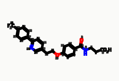 O=C(O)CCNC(=O)c1ccc(OCCc2ccc(-c3ccc(C(F)(F)F)cc3)nc2)cc1